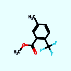 COC(=O)c1cc(C)ccc1C(F)(F)F